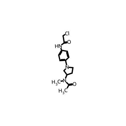 CC(=O)N(C)C1CCN(c2ccc(NC(=O)CCl)cc2)C1